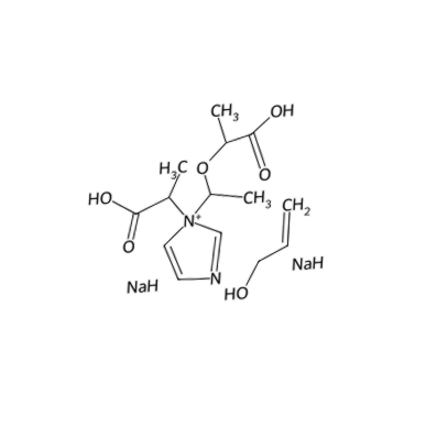 C=CCO.CC(OC(C)[N+]1(C(C)C(=O)O)C=CN=C1)C(=O)O.[NaH].[NaH]